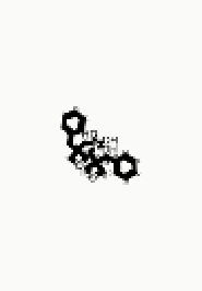 OP(O)(O)(CC1(Cc2ccccc2)COC1)CC1(Cc2ccccc2)COC1